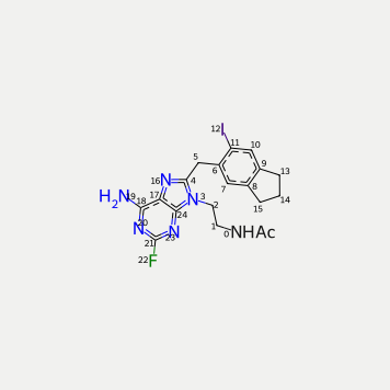 CC(=O)NCCn1c(Cc2cc3c(cc2I)CCC3)nc2c(N)nc(F)nc21